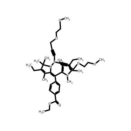 CCOC(=O)c1ccc(/C(=C2\C(C)=C(CC)C(C)(C)N2B(C#CCOCCOC)C#CCOCCOC)c2c(C)c(CC)c(C)n2C)cc1